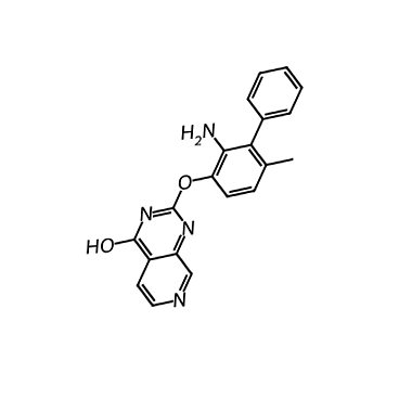 Cc1ccc(Oc2nc(O)c3ccncc3n2)c(N)c1-c1ccccc1